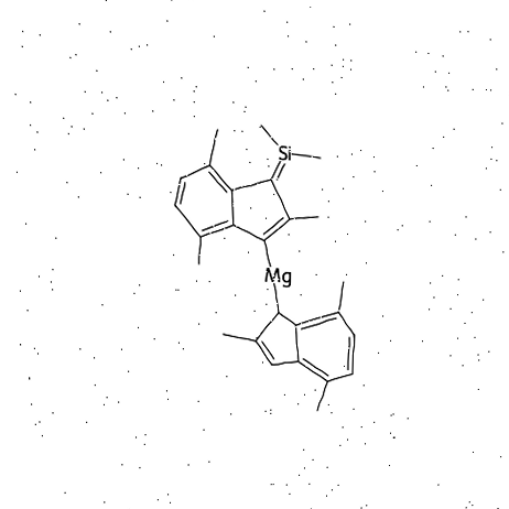 CC1=Cc2c(C)ccc(C)c2[CH]1[Mg][C]1=C(C)C(=[Si](C)C)c2c(C)ccc(C)c21